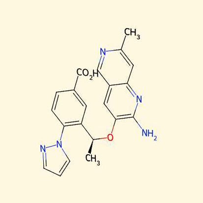 Cc1cc2nc(N)c(O[C@@H](C)c3cc(C(=O)O)ccc3-n3cccn3)cc2cn1